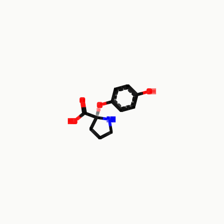 O=C(O)[C@]1(Oc2ccc(O)cc2)CCCN1